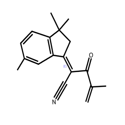 C=C(C)C(=O)/C(C#N)=C1\CC(C)(C)c2ccc(C)cc21